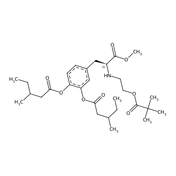 CCC(C)CC(=O)Oc1ccc(C[C@H](NCCOC(=O)C(C)(C)C)C(=O)OC)cc1OC(=O)CC(C)CC